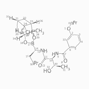 CCCOc1cccc(C(=O)N[C@H](C(=O)N[C@@H](CC(C)C)B2O[C@@H]3C[C@@H]4C[C@@H](C4(C)C)[C@]3(C)O2)[C@@H](C)O)c1